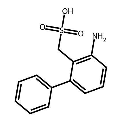 Nc1cccc(-c2ccccc2)c1CS(=O)(=O)O